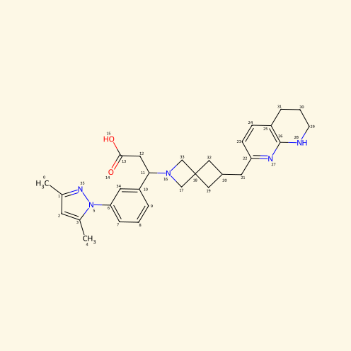 Cc1cc(C)n(-c2cccc(C(CC(=O)O)N3CC4(CC(Cc5ccc6c(n5)NCCC6)C4)C3)c2)n1